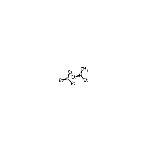 CCN(C)CC.CCN(CC)CC